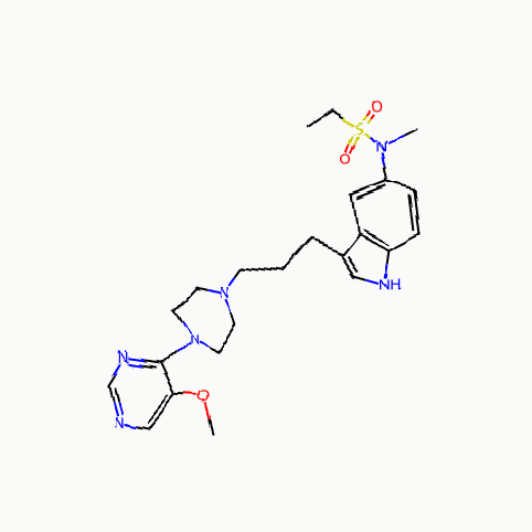 CCS(=O)(=O)N(C)c1ccc2[nH]cc(CCCN3CCN(c4ncncc4OC)CC3)c2c1